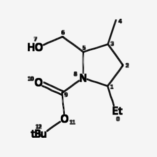 CCC1CC(C)C(CO)N1C(=O)OC(C)(C)C